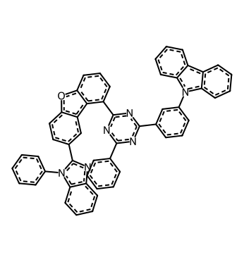 c1ccc(-c2nc(-c3cccc(-n4c5ccccc5c5ccccc54)c3)nc(-c3cccc4oc5ccc(-c6nc7ccccc7n6-c6ccccc6)cc5c34)n2)cc1